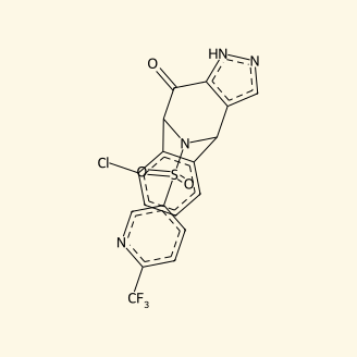 O=C1c2[nH]ncc2C2c3cccc(Cl)c3C1N2S(=O)(=O)c1ccc(C(F)(F)F)nc1